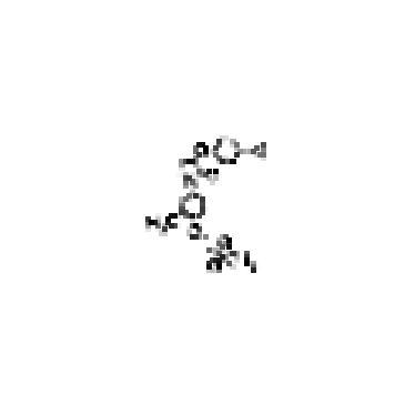 Cc1cc(N2CCC(Oc3ccc(C4CC4)cc3)C2=O)ccc1OCCS(C)(=O)=O